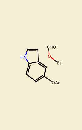 CC(=O)Oc1ccc2[nH]ccc2c1.CCOC=O